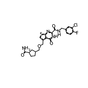 NC(=O)C1CCC(COCc2csc3nc(C(=O)NCc4ccc(F)c(Cl)c4)[nH]c(=O)c23)C1